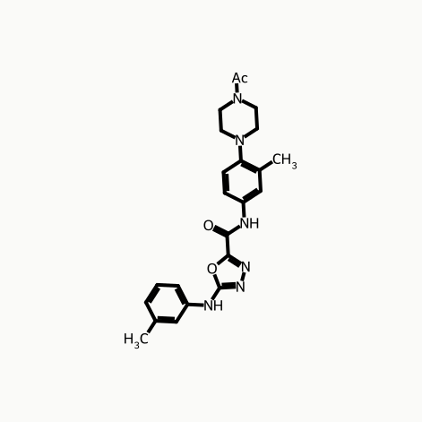 CC(=O)N1CCN(c2ccc(NC(=O)c3nnc(Nc4cccc(C)c4)o3)cc2C)CC1